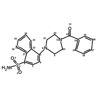 NS(=O)(=O)c1ccc(N2CCN(C(=O)c3ccccc3)CC2)c2cccnc12